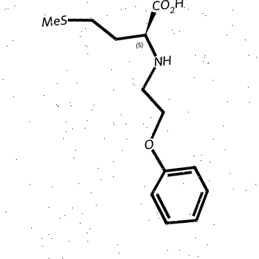 CSCC[C@H](NCCOc1ccccc1)C(=O)O